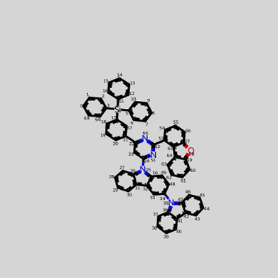 c1ccc([Si](c2ccccc2)(c2ccccc2)c2cccc(-c3cc(-n4c5ccccc5c5cc(-n6c7ccccc7c7ccccc76)ccc54)nc(-c4cccc5oc6ccccc6c45)n3)c2)cc1